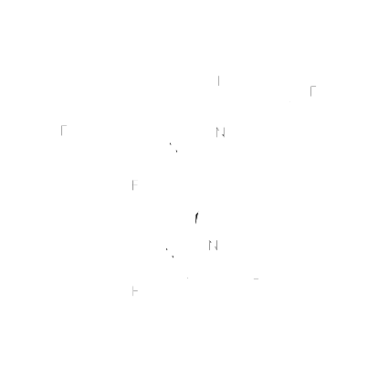 C[C@H]1N(c2ccc(F)cc2F)CC(C)(CC[C@H]2N(c3ccccc3F)CC(C)(C)N2c2ccccc2F)N1c1ccc(F)cc1F